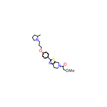 COCC(=O)N1CCc2nc(-c3ccc(OCCCN4CCCC4C)cc3)sc2C1